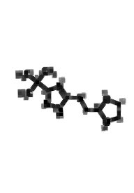 CC(C)(C)c1n[nH]c(SCC2OCCO2)n1